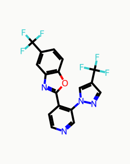 FC(F)(F)c1ccc2oc(-c3ccncc3-n3cc(C(F)(F)F)cn3)nc2c1